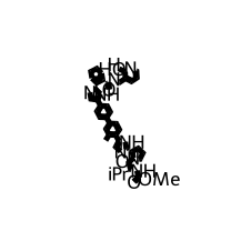 COC(=O)N[C@H](C(=O)N1CCC[C@H]1c1ncc(-c2ccc(-c3ccc(-c4cnc([C@H]5C6CCC(C6)[C@@H]5C(=O)NCc5cccnc5O)[nH]4)cc3)cc2C)[nH]1)C(C)C